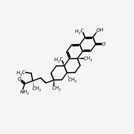 CC[C@@](C)(CC[C@]1(C)CC[C@]2(C)C3=CC=C4C(=CC(=O)C(O)=C4C)[C@]3(C)CC[C@@]2(C)C1)C(N)=O